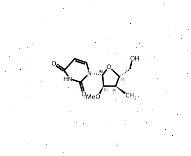 CO[C@@H]1[C@H](C)[C@@H](CO)O[C@H]1n1ccc(=O)[nH]c1=O